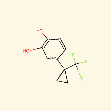 Oc1ccc(C2(C(F)(F)F)CC2)cc1O